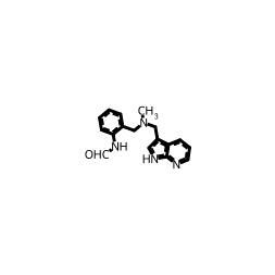 CN(Cc1ccccc1NC=O)Cc1c[nH]c2ncccc12